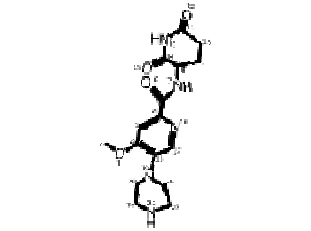 COc1cc(C(=O)NC2CCC(=O)NC2=O)ncc1N1CCNCC1